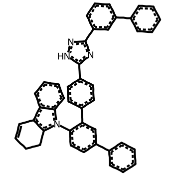 C1=Cc2c(n(-c3ccc(-c4ccccc4)cc3-c3ccc(-c4nc(-c5cccc(-c6ccccc6)c5)n[nH]4)cc3)c3ccccc23)CC1